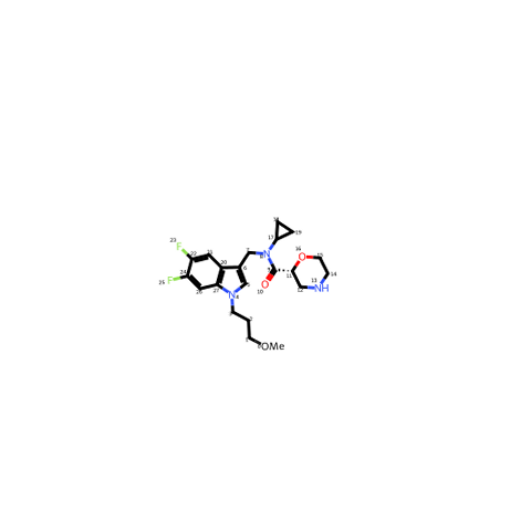 COCCCn1cc(CN(C(=O)[C@H]2CNCCO2)C2CC2)c2cc(F)c(F)cc21